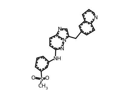 CS(=O)(=O)c1cccc(Nc2ccc3ncc(Cc4ccc5ncccc5c4)n3n2)c1